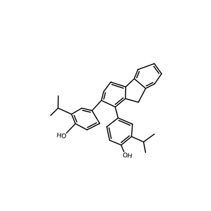 CC(C)c1cc(-c2ccc3c(c2-c2ccc(O)c(C(C)C)c2)Cc2ccccc2-3)ccc1O